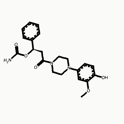 COc1cc(N2CCN(C(=O)C[C@@H](OC(N)=O)c3ccccc3)CC2)ccc1O